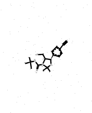 C#Cc1ccc([C@H]2OC(C)(C)N(C(=O)OC(C)(C)C)C2CF)cc1